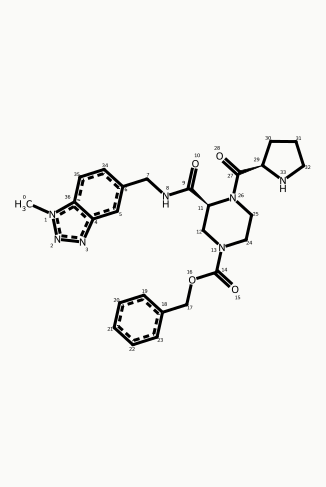 Cn1nnc2cc(CNC(=O)[C@@H]3CN(C(=O)OCc4ccccc4)CCN3C(=O)[C@H]3CCCN3)ccc21